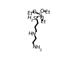 CCO[Si](OCC)(OCC)[SiH2]CCCNCCN